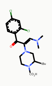 CN(C)C=C(C(=O)c1ccc(Cl)cc1Cl)N1CCN(C(=O)O)C(C(C)(C)C)C1